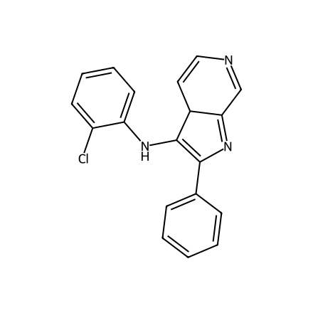 Clc1ccccc1NC1=C(c2ccccc2)N=C2C=NC=CC21